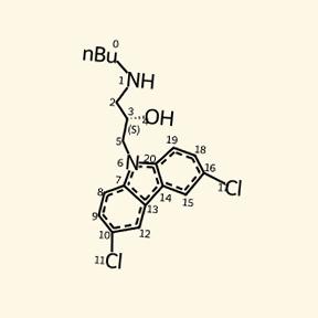 CCCCNC[C@H](O)Cn1c2ccc(Cl)cc2c2cc(Cl)ccc21